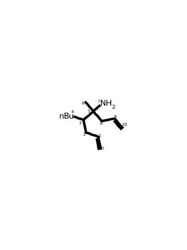 C=CCC(CCCC)C(C)(N)CC=C